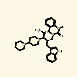 COc1ccccc1CN(C[C@@H](Cc1c[nH]c2ccccc12)C(C(N)=O)N1CCC(N2CCCCC2)CC1)C(C)=O